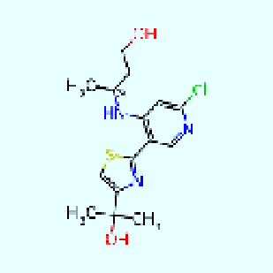 C[C@@H](CCO)Nc1cc(Cl)ncc1-c1nc(C(C)(C)O)cs1